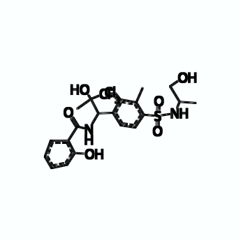 Cc1c(S(=O)(=O)NC(C)CO)ccc(C(NC(=O)c2ccccc2O)C(C)(O)C(F)(F)F)c1Cl